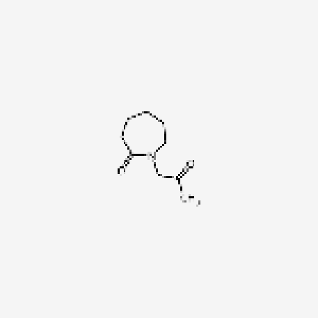 CC(=O)CN1CCCCCC1=O